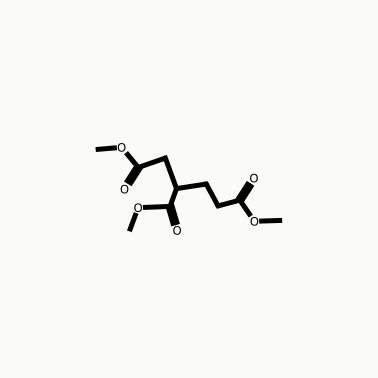 COC(=O)CCC(CC(=O)OC)C(=O)OC